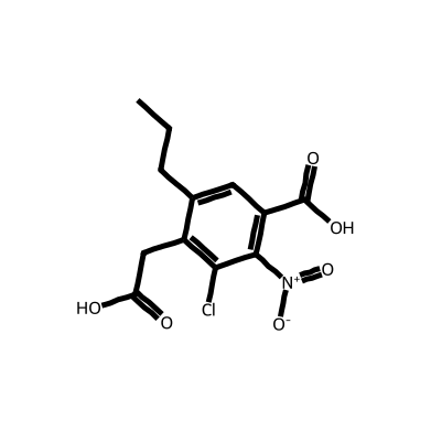 CCCc1cc(C(=O)O)c([N+](=O)[O-])c(Cl)c1CC(=O)O